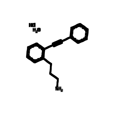 Cl.NCCCc1ccccc1C#Cc1ccccc1.O